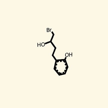 Oc1ccccc1CCC(O)CBr